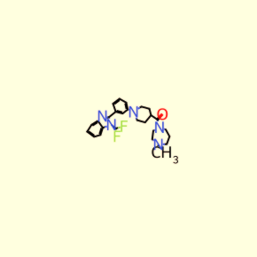 CN1CCCN(C(=O)C2CCN(c3cccc(-c4nc5ccccc5n4C(F)F)c3)CC2)CC1